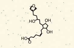 O=C(O)CCC/C=C\CC1C(O)C[C@@H](O)C1CCC(O)CCc1ccoc1